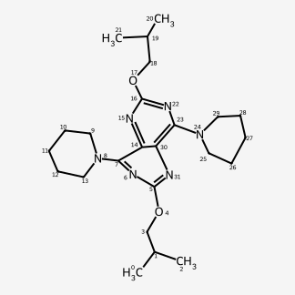 CC(C)COc1nc(N2CCCCC2)c2nc(OCC(C)C)nc(N3CCCCC3)c2n1